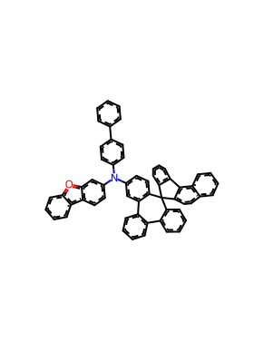 c1ccc(-c2ccc(N(c3ccc4c(c3)-c3ccccc3-c3ccccc3C43c4ccccc4-c4c3ccc3ccccc43)c3ccc4c(c3)oc3ccccc34)cc2)cc1